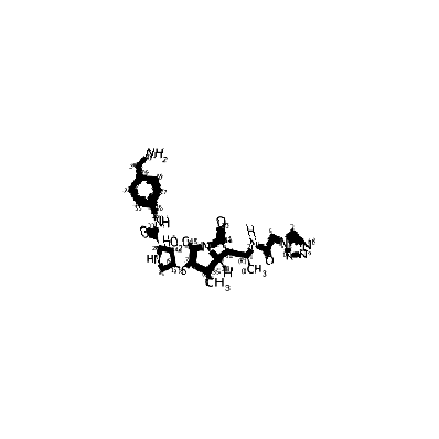 C[C@@H](NC(=O)Cn1cnnn1)[C@H]1C(=O)N2C(C(=O)O)=C(S[C@@H]3CN[C@H](C(=O)Nc4ccc(CN)cc4)C3)[C@H](C)[C@H]12